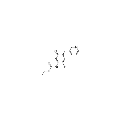 CCOC(=O)Nc1nc(=O)n(Cc2cccnc2)cc1F